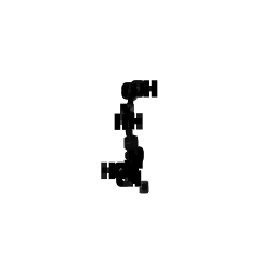 C[C@H](O)c1nccn1Cc1cc(-c2ccc(C#C[C@H]3[C@H]4CN(CCCCC(=O)O)C[C@@H]34)cc2)on1